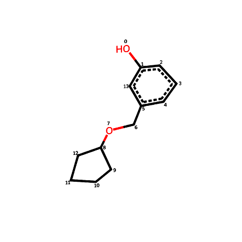 Oc1cccc(COC2CCCC2)c1